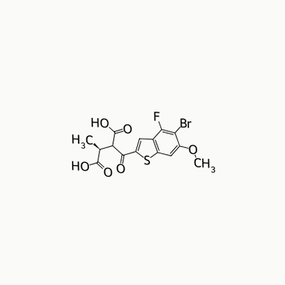 COc1cc2sc(C(=O)C(C(=O)O)[C@H](C)C(=O)O)cc2c(F)c1Br